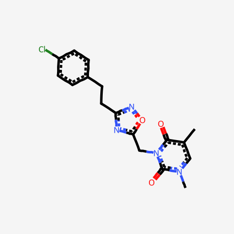 Cc1cn(C)c(=O)n(Cc2nc(CCc3ccc(Cl)cc3)no2)c1=O